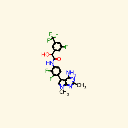 Cc1nc(N)c2c(-c3ccc(NC(=O)C(O)c4cc(F)cc(C(F)(F)F)c4)c(F)c3F)cn(C)c2n1